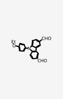 CCOc1ccc(-n2c3ccc(C=O)cc3c3cc(C=O)ccc32)cc1